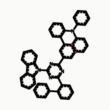 c1ccc(-c2ccccc2-c2nc(-c3cccc(-c4ccccc4N(c4ccccc4)c4ccccc4)c3)nc(-n3c4ccccc4c4ccccc43)n2)cc1